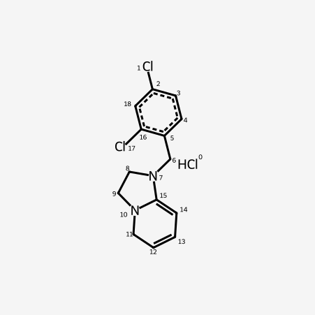 Cl.Clc1ccc(CN2CCN3CC=CC=C32)c(Cl)c1